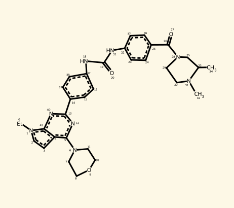 CCn1ccc2c(N3CCOCC3)nc(-c3ccc(NC(=O)Nc4ccc(C(=O)N5CCN(C)C(C)C5)cc4)cc3)nc21